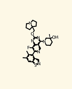 Cc1cc2sncc2c(-c2ncc3c(N4CCC[C@@](C)(O)C4)nc(OCC45CCCN4CCC5)nc3c2F)c1C